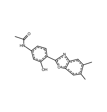 CC(=O)Nc1ccc(-c2nc3cc(C)c(C)cc3o2)c(O)c1